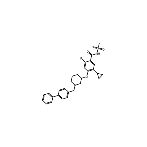 CS(=O)(=O)NC(=O)c1cc(C2CC2)c(OC2CCCN(Cc3ccc(-c4ccccc4)cc3)C2)cc1F